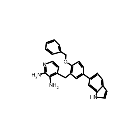 Nc1nccc(Cc2cc(-c3ccc4cc[nH]c4c3)ccc2OCc2ccccc2)c1N